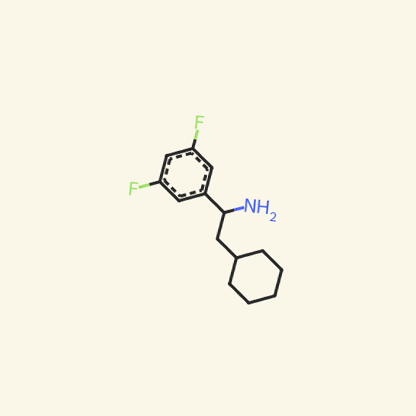 NC(CC1CCCCC1)c1cc(F)cc(F)c1